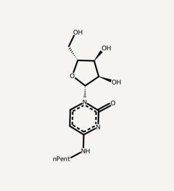 CCCCCNc1ccn([C@@H]2O[C@H](CO)[C@@H](O)[C@H]2O)c(=O)n1